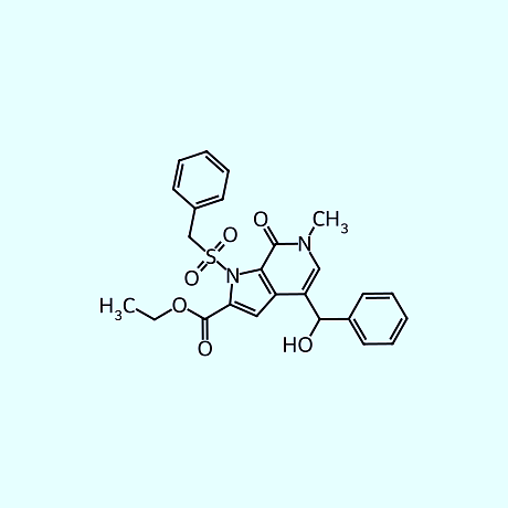 CCOC(=O)c1cc2c(C(O)c3ccccc3)cn(C)c(=O)c2n1S(=O)(=O)Cc1ccccc1